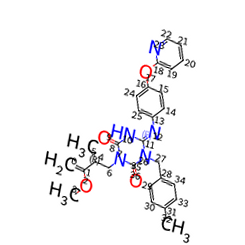 C=C(OC)[C@H](C)Cn1c(=O)[nH]/c(=N\c2ccc(Oc3ccccn3)cc2)n(Cc2ccc(C)cc2)c1=O